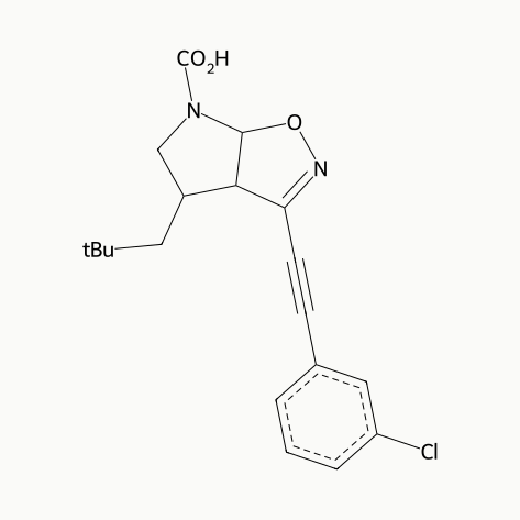 CC(C)(C)CC1CN(C(=O)O)C2ON=C(C#Cc3cccc(Cl)c3)C12